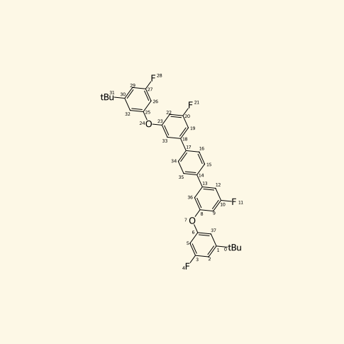 CC(C)(C)c1cc(F)cc(Oc2cc(F)cc(-c3ccc(-c4cc(F)cc(Oc5cc(F)cc(C(C)(C)C)c5)c4)cc3)c2)c1